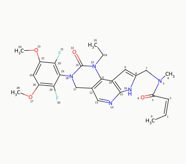 C/C=C\C(=O)N(C)Cc1cc2c3c(cnc2[nH]1)CN(c1c(F)c(OC)cc(OC)c1F)C(=O)N3CC